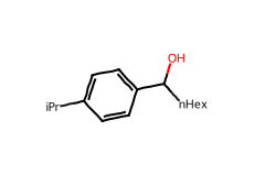 CCCCCCC(O)c1ccc(C(C)C)cc1